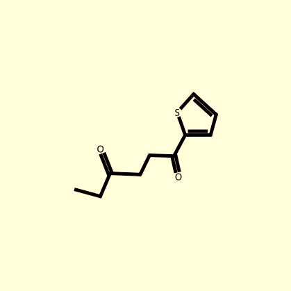 CCC(=O)CCC(=O)c1cccs1